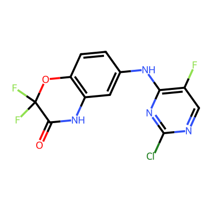 O=C1Nc2cc(Nc3nc(Cl)ncc3F)ccc2OC1(F)F